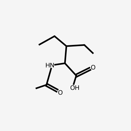 CCC(CC)C(NC(C)=O)C(=O)O